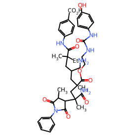 CCC(C)(CC(CN)CC(C)(CC(C)(C(N)=O)C1C(=O)N(c2ccccc2)C(=O)C1C)C(=O)OCCNC(=O)Nc1ccc(O)cc1)C(=O)Nc1ccc(C(=O)O)cc1